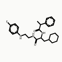 CC(C(=O)NC(CC1CCCCC1)C(=O)NCCNc1ccc(F)cc1)c1ccccc1